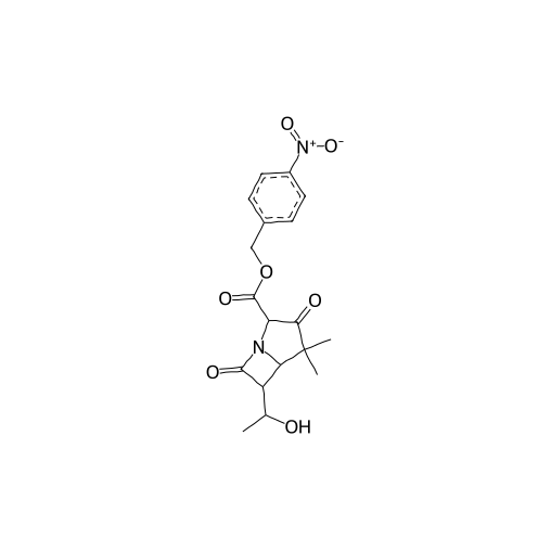 CC(O)C1C(=O)N2C(C(=O)OCc3ccc([N+](=O)[O-])cc3)C(=O)C(C)(C)C12